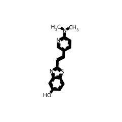 CN(C)c1ccc(/C=C/c2nc3cc(O)ccc3s2)cn1